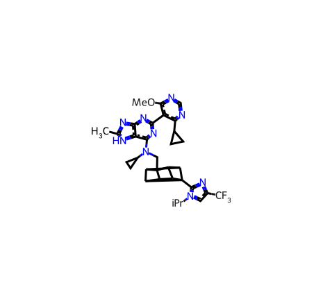 COc1ncnc(C2CC2)c1-c1nc(N(CC23C4C5C2C2C3C4C52c2nc(C(F)(F)F)cn2C(C)C)C2CC2)c2[nH]c(C)nc2n1